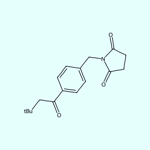 CC(C)(C)CC(=O)c1ccc(CN2C(=O)CCC2=O)cc1